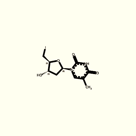 Cc1cn([C@H]2C[C@H](O)[C@@H](CI)O2)c(=O)[nH]c1=O